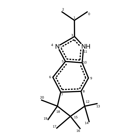 CC(C)c1nc2cc3c(cc2[nH]1)C(C)(C)C(C)(C)C3(C)C